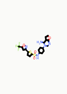 NC1=c2ccoc2=NCN1c1ccc(NS(=O)(=O)c2ccc(-c3cc(C(F)(F)F)on3)s2)cc1